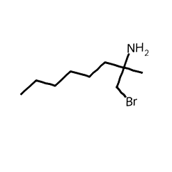 CCCCCCC(C)(N)CBr